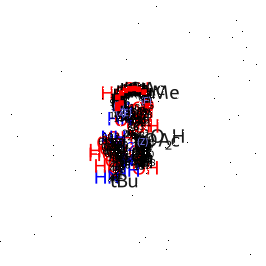 CC(=O)O[C@H]1C[C@@]2(C)[C@@H](C[C@@H](O)[C@H]3[C@@]4(C)CC[C@@H](O)[C@@H](C)[C@@H]4CC[C@@]32C)/C1=C(\CCC=C(C)C)C(=O)O.CN(C)c1cc(NC(=O)CNC(C)(C)C)c(O)c2c1C[C@H]1C[C@H]3[C@H](N(C)C)C(O)=C(C(N)=O)C(=O)[C@@]3(O)C(O)=C1C2=O.CO[C@H]1/C=C/O[C@@]2(C)Oc3c(C)c(O)c4c(O)c(c(/C=N/N5CCN(C)CC5)c(O)c4c3C2=O)NC(=O)/C(C)=C\C=C\[C@H](C)[C@H](O)[C@@H](C)[C@@H](O)[C@@H](C)[C@H](OC(C)=O)[C@@H]1C